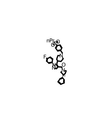 CCCS(=O)(=O)c1ccc(CN2CCC(c3c(C(=O)N4CC[C@H](c5ccccc5)C4)cnn3-c3ccc(F)cc3)CC2)cc1